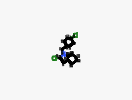 Clc1ccc(Cn2c(Cl)[c]c3ccccc32)cc1